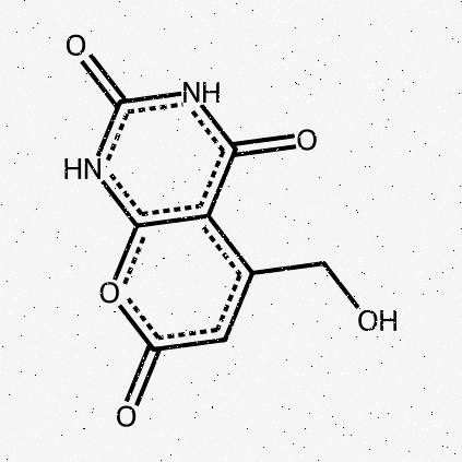 O=c1[nH]c(=O)c2c(CO)cc(=O)oc2[nH]1